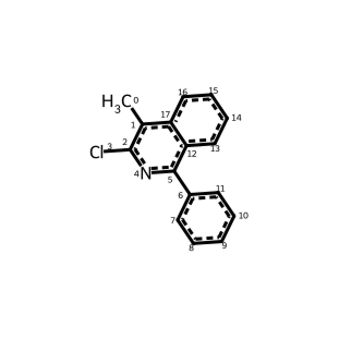 Cc1c(Cl)nc(-c2ccccc2)c2ccccc12